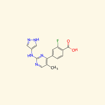 Cc1cnc(Nc2cn[nH]c2)nc1-c1ccc(C(=O)O)c(F)c1